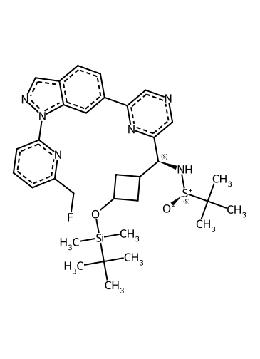 CC(C)(C)[S@@+]([O-])N[C@H](c1cncc(-c2ccc3cnn(-c4cccc(CF)n4)c3c2)n1)C1CC(O[Si](C)(C)C(C)(C)C)C1